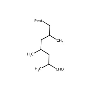 CCCC(C)CC(C)CC(C)CC(C)C=O